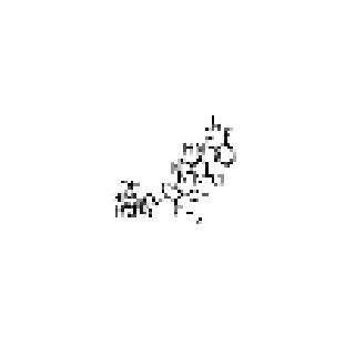 C=C1[C@@H](O)[C@H](n2ncc3c(N[C@@H](C)c4ccccc4F)cc(Cl)nc32)O[C@@H]1COP(=O)(O)CP(=O)(O)O